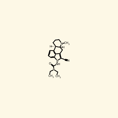 CCN(CC)C(=O)Nn1c(C#N)c2c3c(cccc31)[C@H]1CCCN(C)[C@@H]1C2